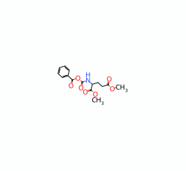 COC(=O)CCC(NC(=O)OC(=O)c1ccccc1)C(=O)OC